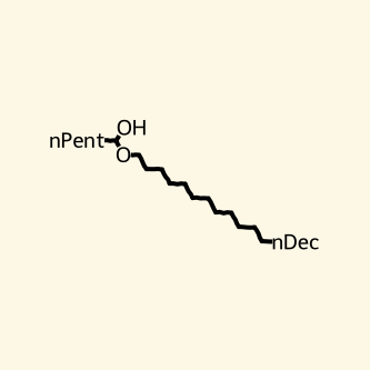 CCCCCCCCCCCCCCCCCCCCCCOC(O)CCCCC